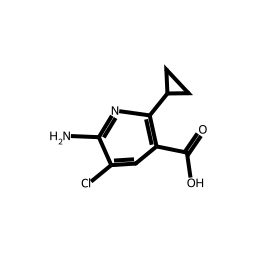 Nc1nc(C2CC2)c(C(=O)O)cc1Cl